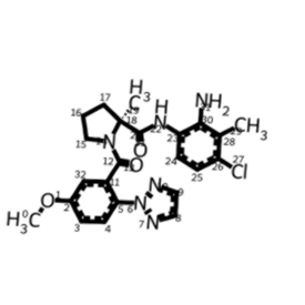 COc1ccc(-n2nccn2)c(C(=O)N2CCC[C@@]2(C)C(=O)Nc2ccc(Cl)c(C)c2N)c1